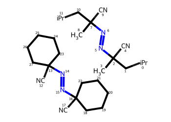 CC(C)CC(C)(C#N)N=NC(C)(C#N)CC(C)C.N#CC1(N=NC2(C#N)CCCCC2)CCCCC1